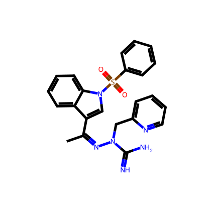 C/C(=N/N(Cc1ccccn1)C(=N)N)c1cn(S(=O)(=O)c2ccccc2)c2ccccc12